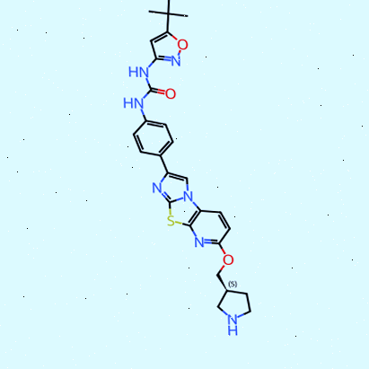 CC(C)(C)c1cc(NC(=O)Nc2ccc(-c3cn4c(n3)sc3nc(OC[C@H]5CCNC5)ccc34)cc2)no1